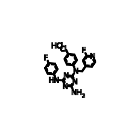 Cl.Nc1nc(Nc2ccc(F)cc2)nc(N(Cc2ccnc(F)c2)c2ccc(Cl)cc2)n1